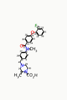 C[C@H]1CN(Cc2ccc(N(C)C(=O)c3ccc(Oc4ccccc4F)cc3)cc2)CCN1C(=O)O